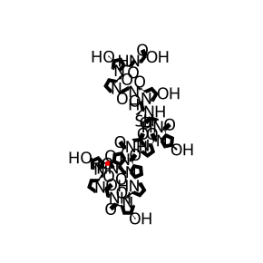 O=C(O)CNC(=O)[C@@H]1C[C@@H](O)CN1C(=O)[C@@H]1CCCN1C(=O)CNC(=O)[C@@H]1C[C@@H](O)CN1C(=O)[C@H](CS)NC(=O)CNC(=O)[C@@H]1C[C@@H](O)CN1C(=O)[C@@H]1CCCN1C(=O)CNC(=O)[C@@H]1C[C@@H](O)CN1C(=O)[C@@H]1CCCN1C(=O)CNC(=O)[C@@H]1C[C@@H](O)CN1C(=O)[C@@H]1CCCN1C(=O)CNC(=O)[C@@H]1C[C@@H](O)CN1C(=O)[C@@H]1CCCN1